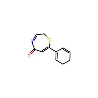 O=C1C=C(C2=CCCC=C2)SCC=N1